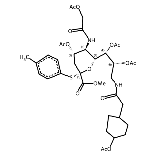 COC(=O)[C@@]1(Sc2ccc(C)cc2)C[C@H](OC(C)=O)[C@@H](NC(=O)COC(C)=O)[C@H]([C@H](OC(C)=O)[C@@H](CNC(=O)CC2CCC(OC(C)=O)CC2)OC(C)=O)O1